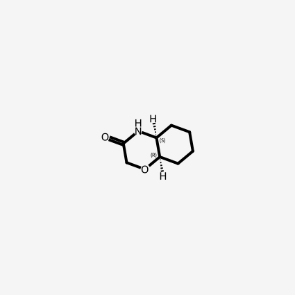 O=C1CO[C@@H]2CCCC[C@@H]2N1